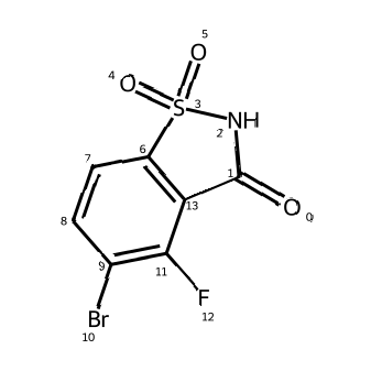 O=C1NS(=O)(=O)c2ccc(Br)c(F)c21